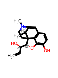 C=C[C@@H](O)[C@H]1Oc2c(O)ccc3c2C12CCN(C)C(=C3)[C@H]2C